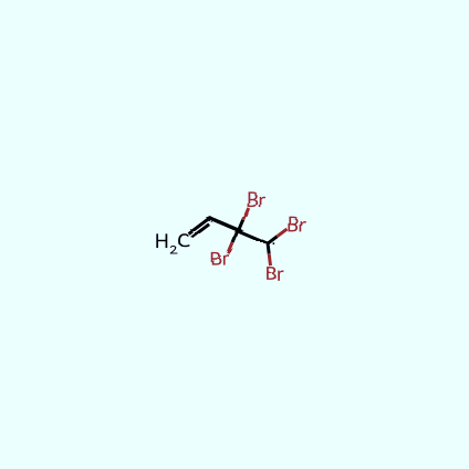 C=CC(Br)(Br)[C](Br)Br